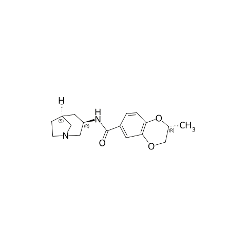 C[C@@H]1COc2cc(C(=O)N[C@@H]3C[C@@H]4CCN(C4)C3)ccc2O1